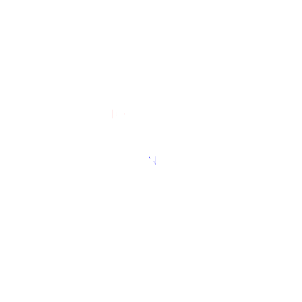 CCCCC[N+](CCCC)(CCCC)CCCC.[OH-]